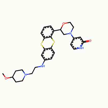 COC1CCN(CCNc2ccc3c(c2)Sc2cccc(C4CN(c5cc[nH]c(=O)c5)CCO4)c2S3)CC1